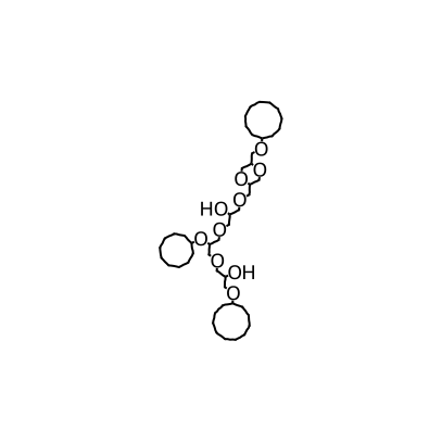 OC(COCC1COC(COC2CCCCCCCCCC2)CO1)COCC(COCC(O)COC1CCCCCCCCCC1)OC1CCCCCCCCC1